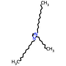 CCCCCCCCCCCCCN1C=CN(CCCCCCCCCCCC)C1CCCCCCC